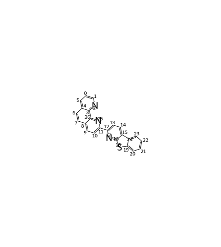 c1cnc2c(c1)ccc1ccc(-c3ccc4c(n3)sc3ccccc34)nc12